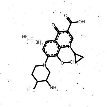 B.COc1c(N2CCC(C)C(N)C2)ccc2c(=O)c(C(=O)O)cn(C3CC3)c12.F.F